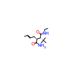 C/C=C/C[C@H](C(N)=O)[C@H](C(=O)NCC)C(C)(C)C